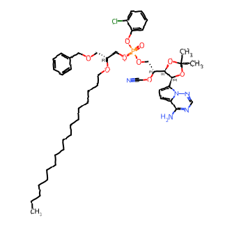 CCCCCCCCCCCCCCCCCCO[C@H](COCc1ccccc1)COP(=O)(OC[C@@H](OC#N)[C@H]1OC(C)(C)O[C@H]1c1ccc2c(N)ncnn12)Oc1ccccc1Cl